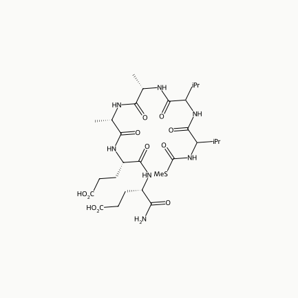 CSC(=O)NC(C(=O)NC(C(=O)N[C@@H](C)C(=O)N[C@@H](C)C(=O)N[C@@H](CCC(=O)O)C(=O)N[C@@H](CCC(=O)O)C(N)=O)C(C)C)C(C)C